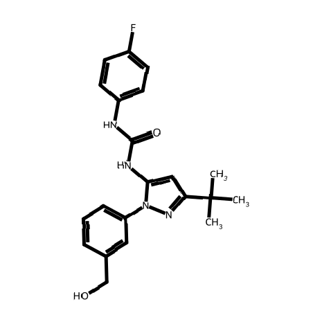 CC(C)(C)c1cc(NC(=O)Nc2ccc(F)cc2)n(-c2cccc(CO)c2)n1